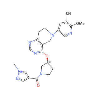 COc1ncc(N2CCc3ncnc(O[C@H]4CCN(C(=O)c5cnn(C)c5)C4)c3C2)cc1C#N